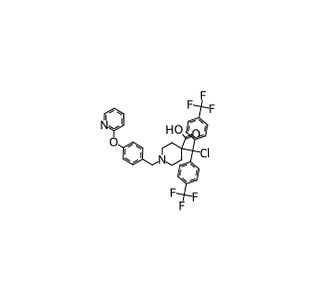 O=C(O)C1(C(Cl)(c2ccc(C(F)(F)F)cc2)c2ccc(C(F)(F)F)cc2)CCN(Cc2ccc(Oc3ccccn3)cc2)CC1